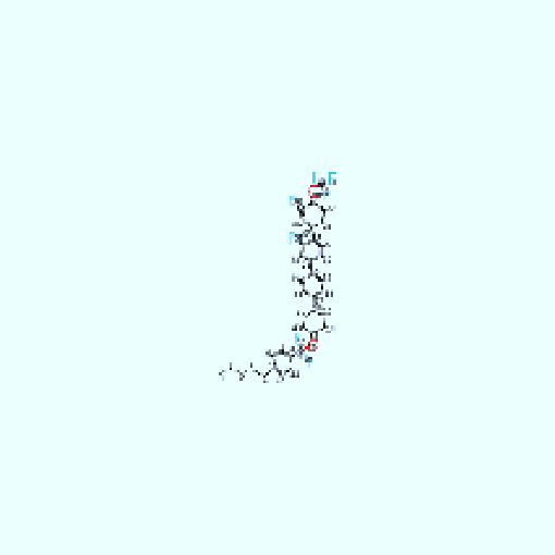 CCCCCc1ccc(C(F)(F)OC2CCC(c3ccc(-c4ccc(-c5ccc(OC(F)(F)F)c(F)c5)c(F)c4)cc3)CC2)cc1